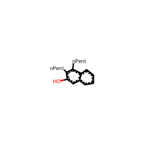 CCCCCc1c(O)cc2ccccc2c1CCCCC